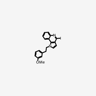 COc1cccc(CCn2ccc3c(I)nc4ccccc4c32)c1